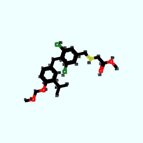 COCOc1ccc(Cc2c(Cl)cc(CSCC(=O)OC)cc2Cl)cc1C(C)C